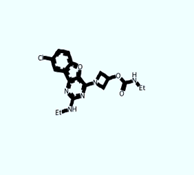 CCNC(=O)OC1CN(c2nc(NCC)nc3c2oc2ccc(Cl)cc23)C1